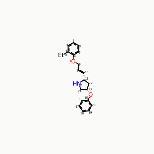 CCc1ccccc1OCC=C[C@@H]1C[C@H](Oc2ccccc2)CN1